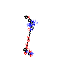 N=C(c1ccc(Oc2ccccc2)cc1)c1c(N)ncnc1NC1CCCN(C(=O)/C=C/CCCOCCOCCOCCOc2cccc3c2C(=O)N(C2CCC(=O)NC2=O)C3=O)C1